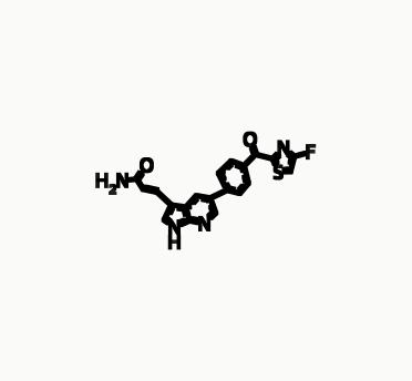 NC(=O)C=Cc1c[nH]c2ncc(-c3ccc(C(=O)c4nc(F)cs4)cc3)cc12